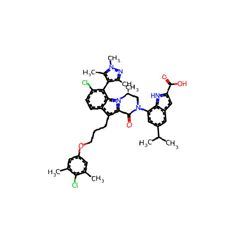 Cc1cc(OCCCc2c3n(c4c(-c5c(C)nn(C)c5C)c(Cl)ccc24)[C@H](C)CN(c2cc(C(C)C)cc4cc(C(=O)O)[nH]c24)C3=O)cc(C)c1Cl